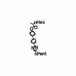 CCCCCCC(C)C(=O)Oc1ccc(-c2ccc(-c3ncc(CCCCC)cn3)cc2)cc1